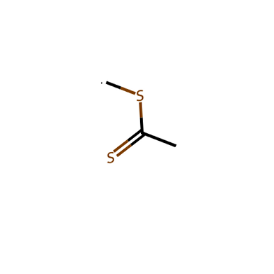 [CH2]SC(C)=S